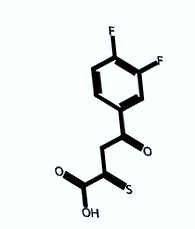 O=C(O)C(=S)CC(=O)c1ccc(F)c(F)c1